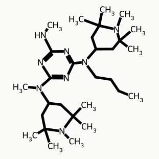 CCCCN(c1nc(NC)nc(N(C)C2CC(C)(C)N(C)C(C)(C)C2)n1)C1CC(C)(C)N(C)C(C)(C)C1